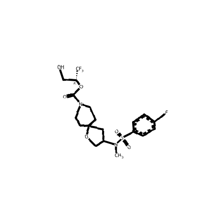 CN(C1COC2(CCN(C(=O)O[C@H](CO)C(F)(F)F)CC2)C1)S(=O)(=O)c1ccc(F)cc1